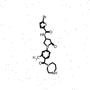 Cc1cc(N2CC(NC(=O)c3ccc(Br)s3)CC2=O)ccc1C(=O)N1CCCNCC1